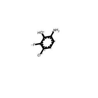 Nc1ccc(Cl)c(F)c1O